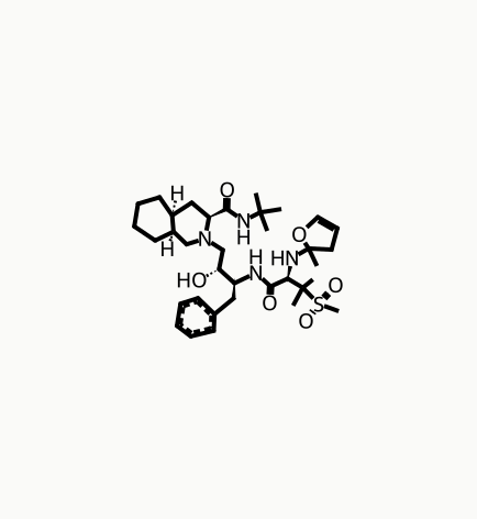 CC(C)(C)NC(=O)[C@@H]1C[C@@H]2CCCC[C@@H]2CN1C[C@@H](O)[C@H](Cc1ccccc1)NC(=O)[C@@H](NC1(C)CC=CO1)C(C)(C)S(C)(=O)=O